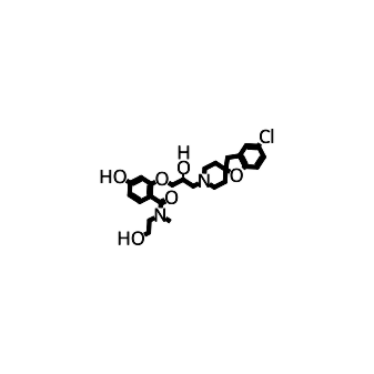 CN(CCO)C(=O)c1ccc(O)cc1OC[C@H](O)CN1CCC2(CC1)Cc1cc(Cl)ccc1O2